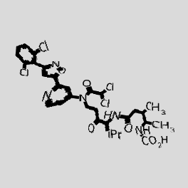 CC(C)C(NC(=O)CC(C)C(C)NC(=O)O)C(=O)CCN(C(=O)C(Cl)Cl)c1ccnc(-c2cc(-c3c(Cl)cccc3Cl)no2)c1